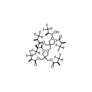 C=C(C(=O)OCC(COCC(COC(=O)C(=C)C(F)(F)F)(COC(=O)C(=C)C(F)(F)F)COC(O)C(=C)C(F)(F)F)(COC(=O)C(=C)C(F)(F)F)COC(=O)C(=C)C(F)(F)F)C(F)(F)F